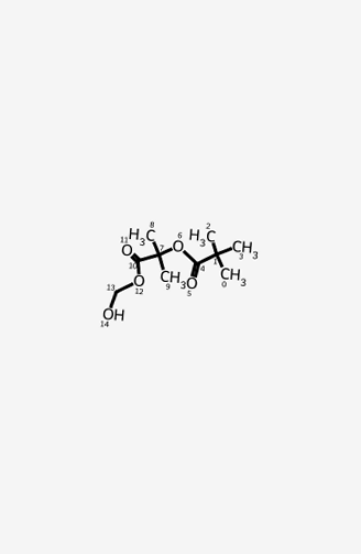 CC(C)(C)C(=O)OC(C)(C)C(=O)OCO